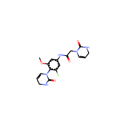 COc1cc(NC(=O)CN2C=CCNC2=O)cc(F)c1N1C=CCNC1=O